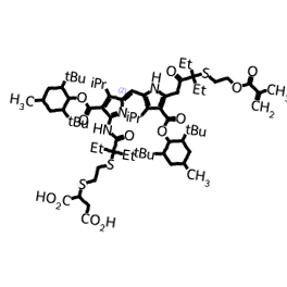 C=C(C)C(=O)OCCSC(CC)(CC)C(=O)Cc1[nH]c(/C=C2\N=C(NC(=O)C(CC)(CC)SCCSC(CC(=O)O)C(=O)O)C(C(=O)OC3C(C(C)(C)C)CC(C)CC3C(C)(C)C)=C2C(C)C)c(C(C)C)c1C(=O)OC1C(C(C)(C)C)CC(C)CC1C(C)(C)C